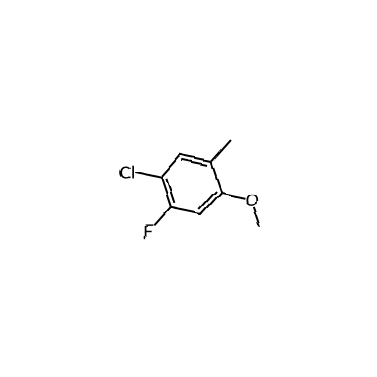 COc1cc(F)c(Cl)cc1C